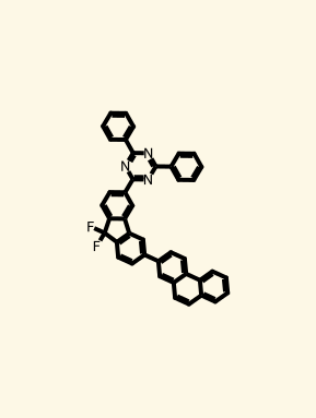 FC1(F)c2ccc(-c3ccc4c(ccc5ccccc54)c3)cc2-c2cc(-c3nc(-c4ccccc4)nc(-c4ccccc4)n3)ccc21